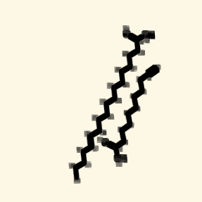 C#CCCCCCCCCC(=O)O.CCCCC=CCCCCCCCCCCCC(=O)O